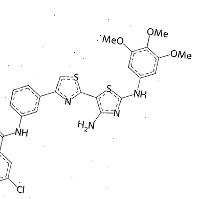 COc1cc(Nc2nc(N)c(-c3nc(-c4cccc(NC(=O)c5ccnc(Cl)c5)c4)cs3)s2)cc(OC)c1OC